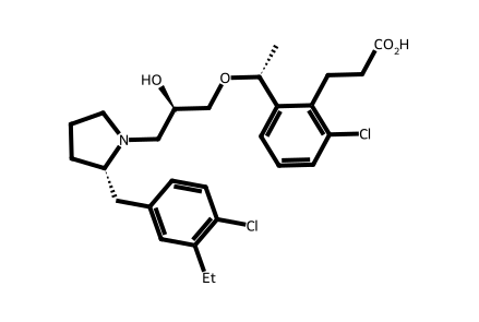 CCc1cc(C[C@@H]2CCCN2C[C@@H](O)CO[C@H](C)c2cccc(Cl)c2CCC(=O)O)ccc1Cl